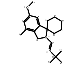 COc1cc(C)c2c(c1)C1(CCCCC1)N(/C=N/C(C)(C)C)C2